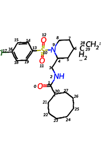 O=C(NCC1CCCCN1S(=O)(=O)c1ccc(Cl)cc1)[C]1CCCCCCC1.[CH2].[CH2]